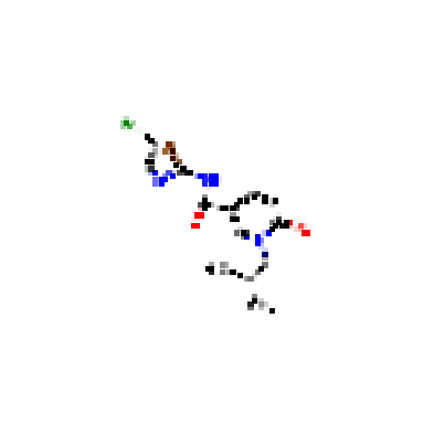 CC(C)Cn1cc(C(=O)Nc2ncc(Br)s2)ccc1=O